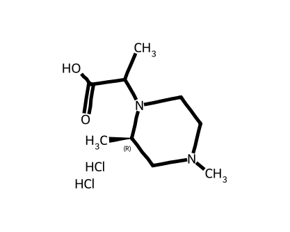 CC(C(=O)O)N1CCN(C)C[C@H]1C.Cl.Cl